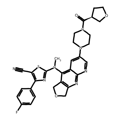 CN(c1nc(-c2ccc(F)cc2)c(C#N)s1)c1c2c(nc3ncc(N4CCN(C(=O)[C@H]5CCOC5)CC4)cc13)COC2